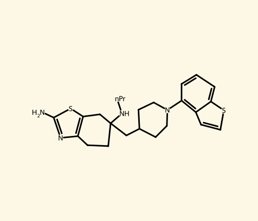 CCCNC1(CC2CCN(c3cccc4sccc34)CC2)CCc2nc(N)sc2C1